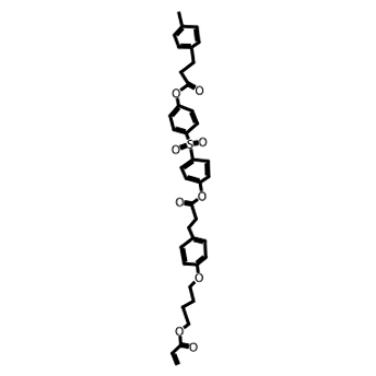 C=CC(=O)OCCCCOc1ccc(CCC(=O)Oc2ccc(S(=O)(=O)c3ccc(OC(=O)CCc4ccc(C)cc4)cc3)cc2)cc1